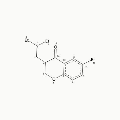 CCN(CC)CC1COc2ccc(Br)cc2C1=O